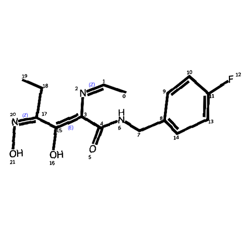 C\C=N/C(C(=O)NCc1ccc(F)cc1)=C(O)\C(CC)=N/O